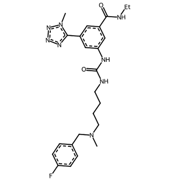 CCNC(=O)c1cc(NC(=O)NCCCCN(C)Cc2ccc(F)cc2)cc(-c2nnnn2C)c1